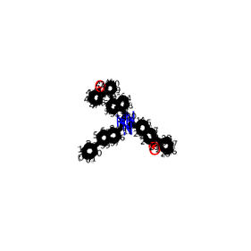 c1ccc(-c2ccc3cc(-c4nc(-c5ccc6cc7c(cc6c5)oc5ccccc57)nc(-c5cccc6c(-c7cccc8oc9ccccc9c78)cccc56)n4)ccc3c2)cc1